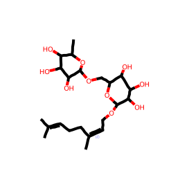 CC(C)=CCC/C(C)=C\COC1OC(COC2OC(C)C(O)C(O)C2O)C(O)C(O)C1O